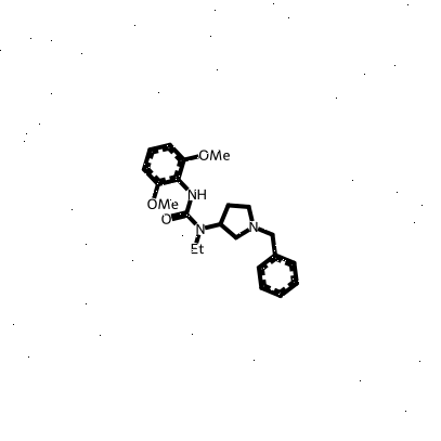 CCN(C(=O)Nc1c(OC)cccc1OC)C1CCN(Cc2ccccc2)C1